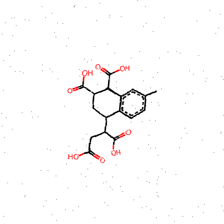 Cc1ccc2c(c1)C(C(=O)O)C(C(=O)O)CC2C(CC(=O)O)C(=O)O